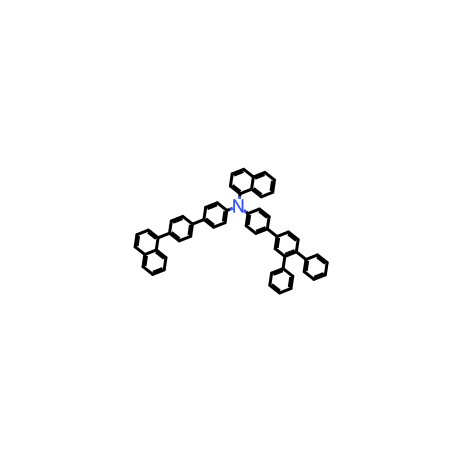 c1ccc(-c2ccc(-c3ccc(N(c4ccc(-c5ccc(-c6cccc7ccccc67)cc5)cc4)c4cccc5ccccc45)cc3)cc2-c2ccccc2)cc1